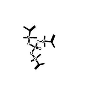 C=C(C)[Si](C)(C)OP(=O)(O[Si](C)(C)C(=C)C)O[Si](C)(C)C(=C)C